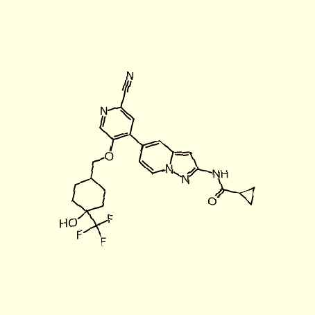 N#Cc1cc(-c2ccn3nc(NC(=O)C4CC4)cc3c2)c(OCC2CCC(O)(C(F)(F)F)CC2)cn1